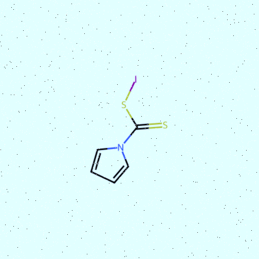 S=C(SI)n1cccc1